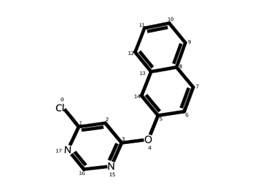 Clc1cc(Oc2ccc3ccccc3c2)ncn1